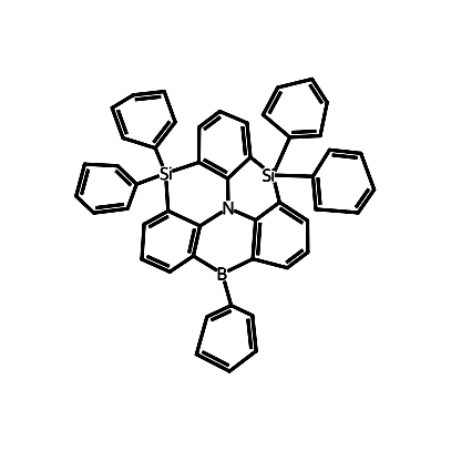 c1ccc(B2c3cccc4c3N3c5c2cccc5[Si](c2ccccc2)(c2ccccc2)c2cccc(c23)[Si]4(c2ccccc2)c2ccccc2)cc1